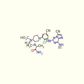 CCNc1nc(Nc2cc(C#N)cc(N3CC[C@@H](N(C)C(=O)O)[C@@H](N(C)[C@@H](C)C(N)=O)C3)c2Cl)nn2c(C#N)cnc12